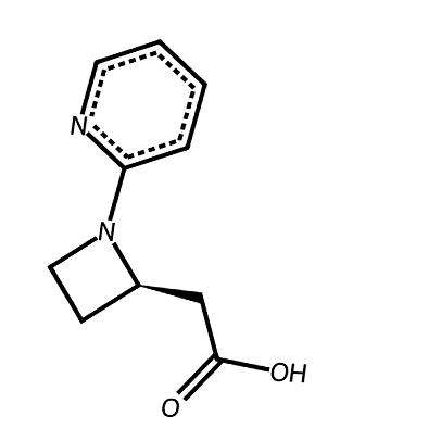 O=C(O)C[C@H]1CCN1c1ccccn1